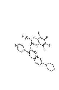 CCN(CC(=O)N(Cc1ccc(C2CCCCC2)cn1)c1ccncc1)Sc1c(F)c(F)c(F)c(F)c1F